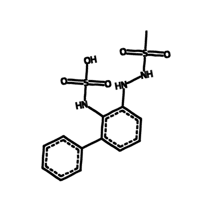 CS(=O)(=O)NNc1cccc(-c2ccccc2)c1NS(=O)(=O)O